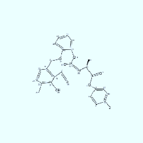 Cc1ccc(OC(=O)[C@H](C)N=[P+]([O-])Oc2ccccc2OCc2cnc(C)c(O)c2C=O)cc1